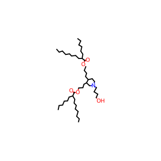 CCCCCCCCC(CCCCCC)C(=O)OCCCCC1CCN(CCCCO)CC1CCCOC(=O)C(CCCCCC)CCCCCCCC